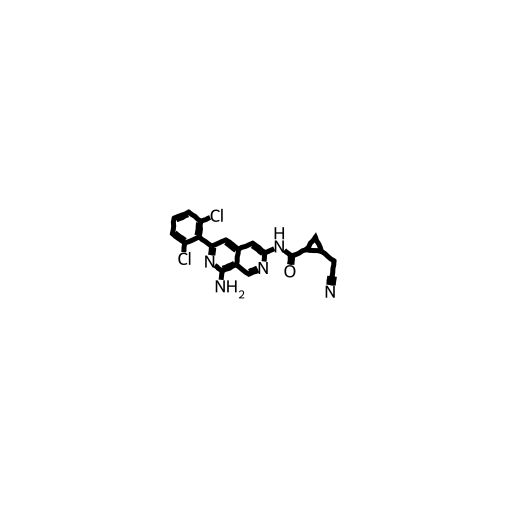 N#CCC1CC1C(=O)Nc1cc2cc(-c3c(Cl)cccc3Cl)nc(N)c2cn1